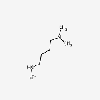 [CH2]CCNCCCCN(C)C